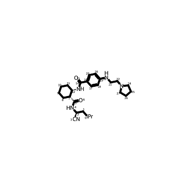 CC(C)C[C@@H](C#N)NC(=O)[C@@H]1CCCC[C@@H]1NC(=O)c1ccc(NCCN2CCCC2)cc1